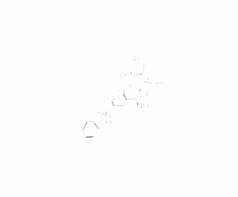 CC(C)CC(N)C(O)C(F)(F)C(N)C(=O)CC(=O)NCc1ccccc1